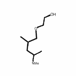 CNC(C)CC(C)COCCO